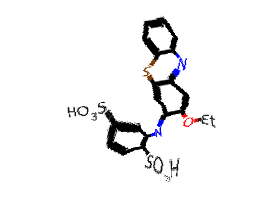 CCOc1cc2nc3ccccc3sc-2c/c1=N\c1cc(S(=O)(=O)O)ccc1S(=O)(=O)O